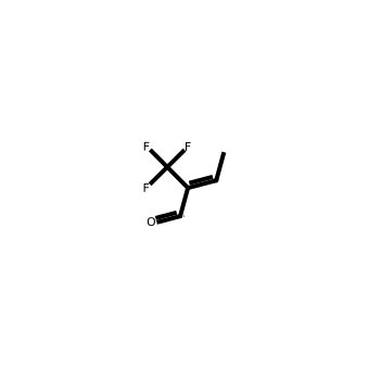 CC=C([C]=O)C(F)(F)F